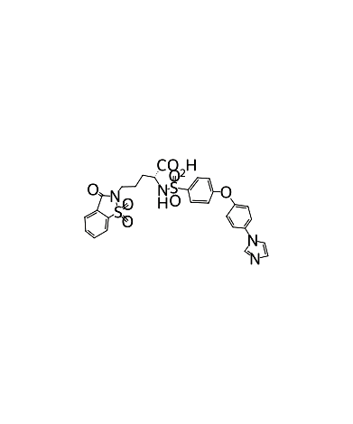 O=C(O)[C@@H](CCCN1C(=O)c2ccccc2S1(=O)=O)NS(=O)(=O)c1ccc(Oc2ccc(-n3ccnc3)cc2)cc1